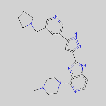 CN1CCN(c2nccc3[nH]c(-c4cc(-c5cncc(CN6CCCC6)c5)[nH]n4)nc23)CC1